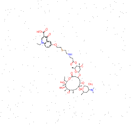 CC[C@H]1OC(=O)[C@H](C)[C@@H](O[C@H]2C[C@@](C)(OC)[C@@H](OC(=O)CCNCCSCCOc3ccc4c(c3)c(=O)c(C(=O)O)cn4CC)[C@H](C)O2)[C@H](C)[C@@H](O[C@H]2O[C@H](C)C[C@H](N(C)C)[C@H]2O)[C@](C)(OC)C[C@@H](C)C(=O)[C@@H](C)[C@@H](O)[C@]1(C)O